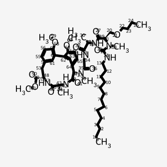 CCCCCCCCCCCCCCNC(=O)N(C)[C@H](COCCCC)C(=O)N[C@H](C)C(=O)NCC(=O)N(C)[C@@H]1C(=O)N[C@@H](C)C(=O)N[C@H](C(=O)OC)Cc2ccc(OC)c(c2)-c2cc1ccc2OC